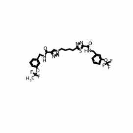 CC(F)(F)Oc1cccc(CNC(=O)c2cn(CCCCc3nnc(C(=O)NCc4cccc(OC(F)(F)F)c4)s3)nn2)c1